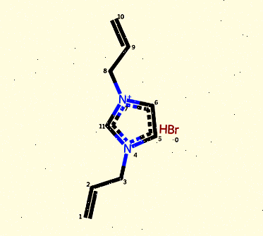 Br.C=CCn1cc[n+](CC=C)c1